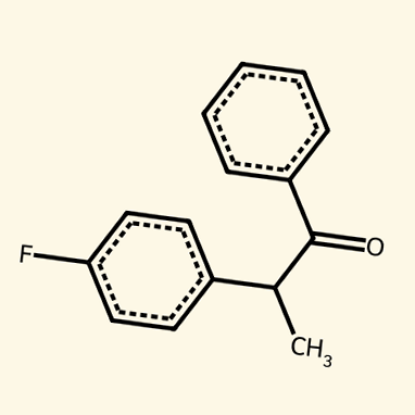 CC(C(=O)c1ccccc1)c1ccc(F)cc1